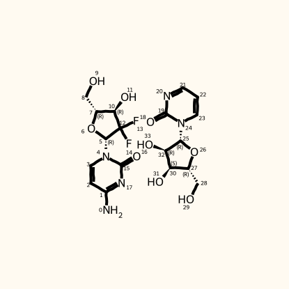 Nc1ccn([C@@H]2O[C@H](CO)[C@@H](O)C2(F)F)c(=O)n1.O=c1ncccn1[C@@H]1O[C@H](CO)[C@@H](O)[C@H]1O